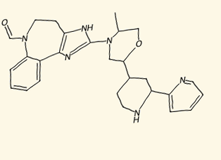 CC1COC(C2CCNC(c3ccccn3)C2)CN1c1nc2c([nH]1)CCN(C=O)c1ccccc1-2